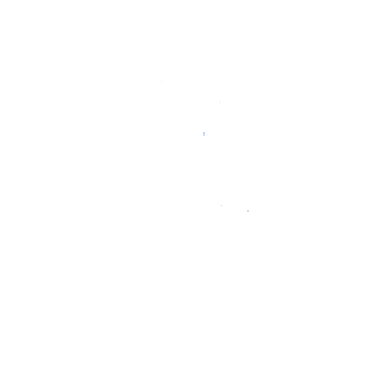 O=S(=O)(CC1CC1)NCCC1c2cc(F)ccc2C(Cc2cccc(C(F)(F)F)c2)C1CN1CCC1